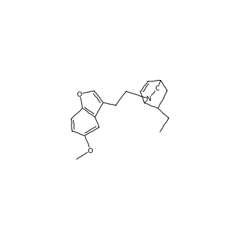 CCC1CC2C=CC1N(CCc1coc3ccc(OC)cc13)C2